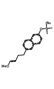 COC=CCCc1ccc2cc(O[Si](C)(C)C(C)(C)C)ccc2c1